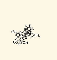 Cc1ccc(CN([C@H](CC(C)C)C(=O)N(Cc2cc(C3CC3)cc(C(C)(C)C)c2)c2ccc(C(=O)O)c(O)c2)S(=O)(=O)c2c(F)c(F)c(F)c(F)c2F)cc1